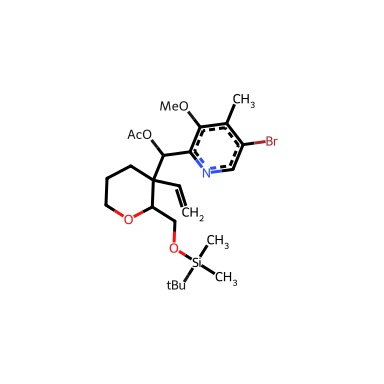 C=CC1(C(OC(C)=O)c2ncc(Br)c(C)c2OC)CCCOC1CO[Si](C)(C)C(C)(C)C